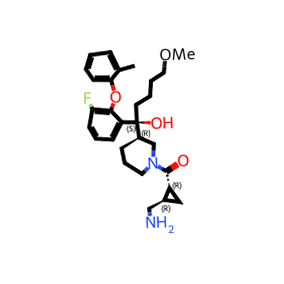 COCCCC[C@@](O)(c1cccc(F)c1Oc1ccccc1C)[C@@H]1CCCN(C(=O)[C@@H]2C[C@H]2CN)C1